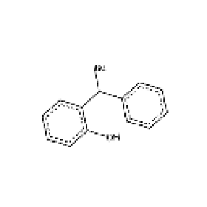 CCC(C)C(c1ccccc1)c1ccccc1O